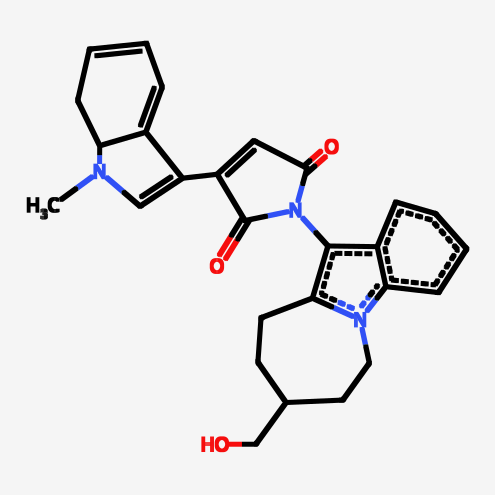 CN1C=C(C2=CC(=O)N(c3c4n(c5ccccc35)CCC(CO)CC4)C2=O)C2=CC=CCC21